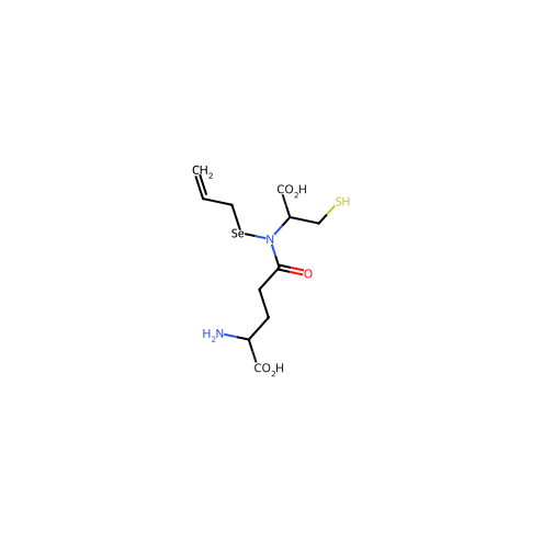 C=CC[Se]N(C(=O)CCC(N)C(=O)O)C(CS)C(=O)O